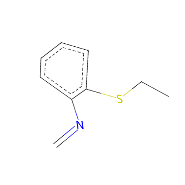 C=Nc1ccccc1SCC